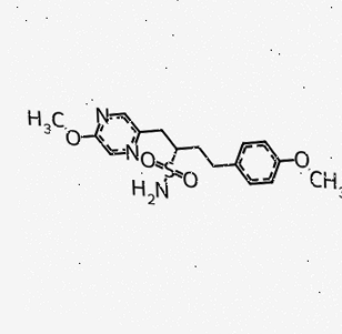 COc1ccc(CCC(Cc2cnc(OC)cn2)S(N)(=O)=O)cc1